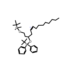 CCCCCCCC/C=C\CC(CCO[Si](C)(C)C(C)(C)C)O[Si](c1ccccc1)(c1ccccc1)C(C)(C)C